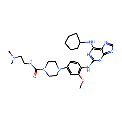 COc1cc(N2CCN(C(=O)NCCN(C)C)CC2)ccc1Nc1nc(NC2CCCCC2)c2ncnc-2[nH]1